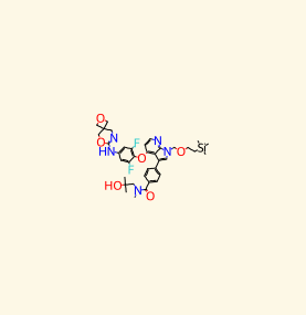 CN(CC(C)(C)O)C(=O)c1ccc(-c2cn(COCC[Si](C)(C)C)c3nccc(Oc4c(F)cc(NC5=NCC6(COC6)CO5)cc4F)c23)cc1